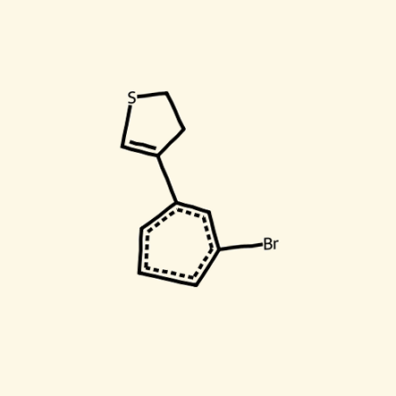 Brc1cccc(C2=CSCC2)c1